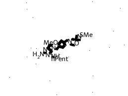 CCCCCNc1nc(N)nc2ccn(Cc3ccc(CN4CCOC5(C4)CN(SC)C5)cc3OC)c12